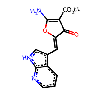 CCOC(=O)C1=C(N)O/C(=C\c2c[nH]c3ncccc23)C1=O